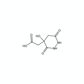 O=C(O)CC1(O)CC(=O)NNC1=O